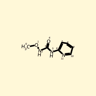 CONC(=O)Nc1ccccn1